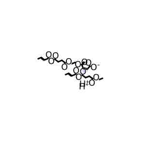 CC=CC(=O)OC(=O)CCC(=O)OCC.CC=CC(=O)OC(=O)CCC(=O)OCC.O=C([O-])/C=C\C(=O)[O-].[H+].[H+]